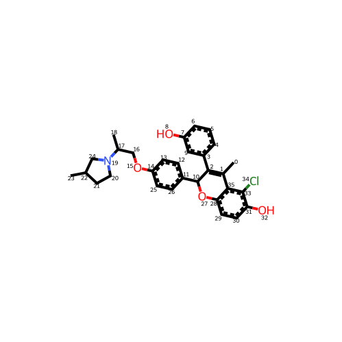 CC1=C(c2cccc(O)c2)C(c2ccc(OCC(C)N3CCC(C)C3)cc2)Oc2ccc(O)c(Cl)c21